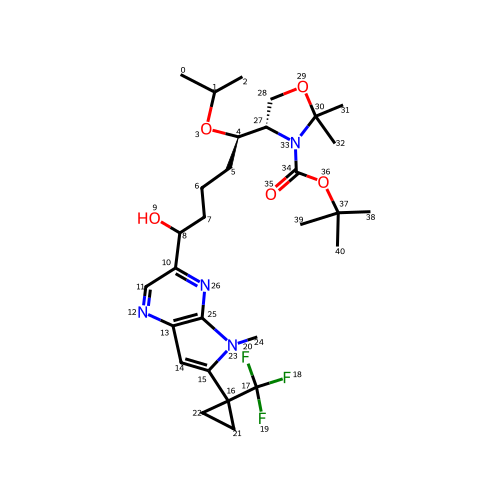 CC(C)O[C@H](CCCC(O)c1cnc2cc(C3(C(F)(F)F)CC3)n(C)c2n1)[C@@H]1COC(C)(C)N1C(=O)OC(C)(C)C